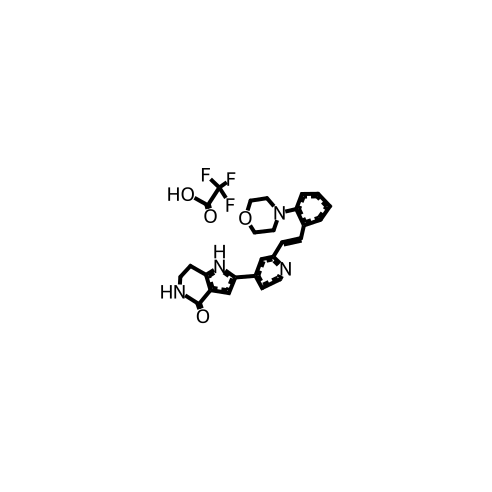 O=C(O)C(F)(F)F.O=C1NCCc2[nH]c(-c3ccnc(/C=C/c4ccccc4N4CCOCC4)c3)cc21